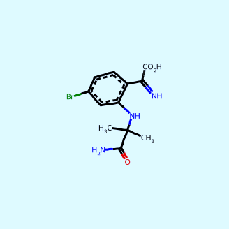 CC(C)(Nc1cc(Br)ccc1C(=N)C(=O)O)C(N)=O